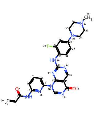 C=CC(=O)Nc1cccc(-n2cnc(=O)c3cnc(Nc4ccc(N5CCN(C)CC5)cc4F)nc32)n1